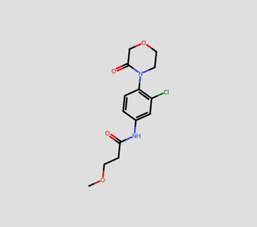 COCCC(=O)Nc1ccc(N2CCOCC2=O)c(Cl)c1